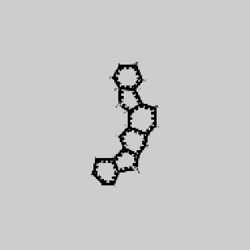 c1ccc2c(c1)oc1cc3ccc4c5ccccc5oc4c3cc12